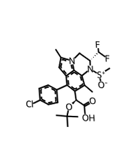 Cc1c([C@H](OC(C)(C)C)C(=O)O)c(-c2ccc(Cl)cc2)c2cc(C)n3c2c1N([S+](C)[O-])[C@@H](C(F)F)C3